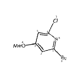 CCC(C)c1cc(OC)cc(Cl)n1